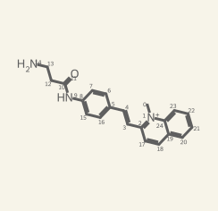 C[n+]1c(C=Cc2ccc(NC(=O)CCN)cc2)ccc2ccccc21